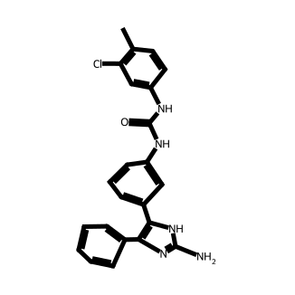 Cc1ccc(NC(=O)Nc2cccc(-c3[nH]c(N)nc3-c3ccccc3)c2)cc1Cl